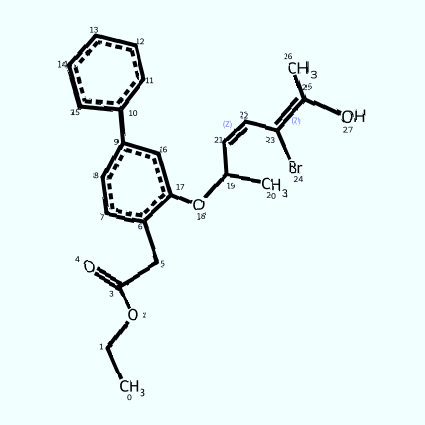 CCOC(=O)Cc1ccc(-c2ccccc2)cc1OC(C)/C=C\C(Br)=C(/C)O